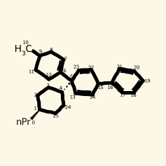 CCC[C@H]1CC[C@H](C2(C3=CCC(C)CC3)C=CC(c3ccccc3)C=C2)CC1